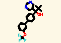 CC(C)(C)C(O)(c1ccc(-c2cccc(OC(F)(F)F)c2)cc1)c1cncnc1